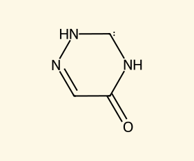 O=C1C=NN[C]N1